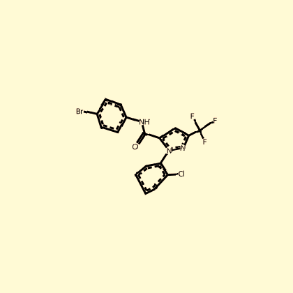 O=C(Nc1ccc(Br)cc1)c1cc(C(F)(F)F)nn1-c1ccccc1Cl